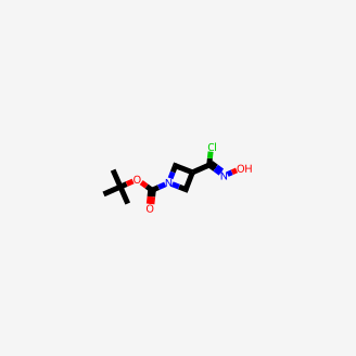 CC(C)(C)OC(=O)N1CC(C(Cl)=NO)C1